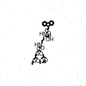 CCOCC(COCC)COCC(COCC1COC(C)(C)OC1)OC(=O)NCCCC[C@H](NC(=O)OCC1c2ccccc2-c2ccccc21)C(=O)O